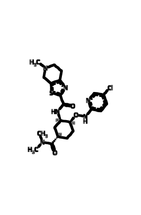 CN1CCc2nc(C(=O)N[C@@H]3C[C@@H](C(=O)N(C)C)CC[C@@H]3ONc3ccc(Cl)cn3)sc2C1